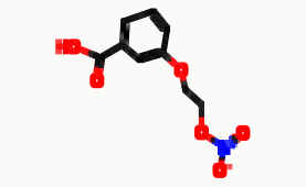 O=C(O)c1cccc(OCCO[N+](=O)[O-])c1